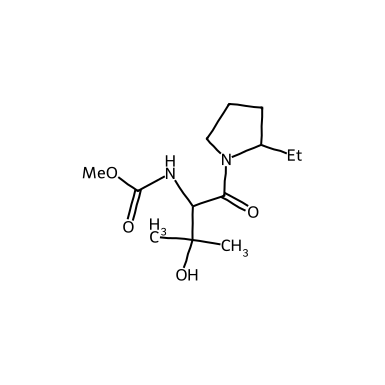 CCC1CCCN1C(=O)C(NC(=O)OC)C(C)(C)O